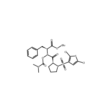 CN(C)C(=O)ON(C(=O)[C@@H]1CCCN1S(=O)(=O)c1cc(Cl)sc1Cl)[C@@H](Cc1ccccc1)C(=O)OC(C)(C)C